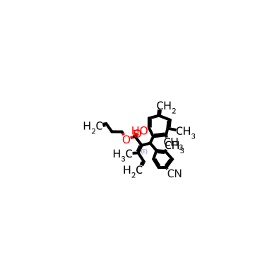 C=CCCOC(=O)/C(=C(\C)C=C)C(C1=C(C)C(C)=CC(=C)C=C1O)c1ccc(C#N)cc1C